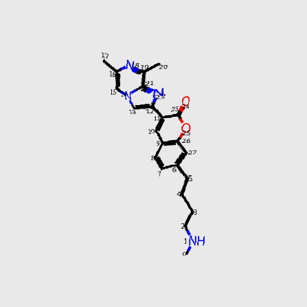 CNCCCCc1ccc2cc(-c3cn4cc(C)nc(C)c4n3)c(=O)oc2c1